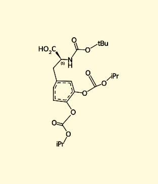 CC(C)OC(=O)Oc1ccc(C[C@H](NC(=O)OC(C)(C)C)C(=O)O)cc1OC(=O)OC(C)C